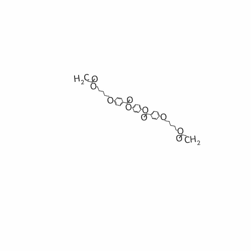 C=CC(=O)OCCCCCOc1ccc(C(=O)Oc2ccc(OC(=O)c3ccc(OCCCCCOC(=O)C=C)cc3)cc2)cc1